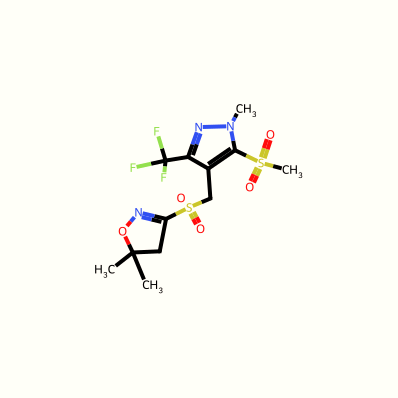 Cn1nc(C(F)(F)F)c(CS(=O)(=O)C2=NOC(C)(C)C2)c1S(C)(=O)=O